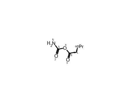 CCCCC(=O)OC(N)=O